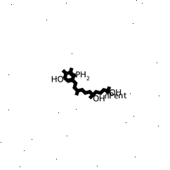 CCCCCC(C)(O)CCCC(C)(O)CCCC(C)CCC1=CC(O)C(C)C(C)=C1P